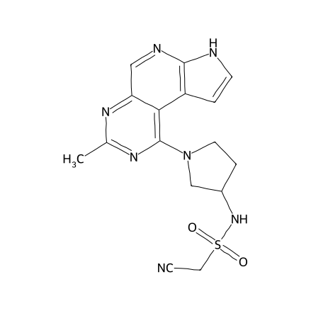 Cc1nc(N2CCC(NS(=O)(=O)CC#N)C2)c2c(cnc3[nH]ccc32)n1